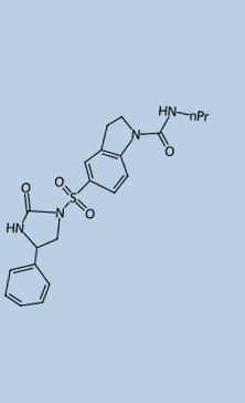 CCCNC(=O)N1CCc2cc(S(=O)(=O)N3CC(c4ccccc4)NC3=O)ccc21